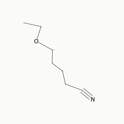 CCO[CH]CCCC#N